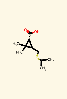 CC(C)SCC1[C@@H](C(=O)O)C1(C)C